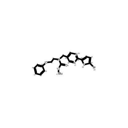 CC(C)(C)OC(=O)N(CCOc1ccccc1)Cc1cnc(-c2ccc(Br)s2)nc1